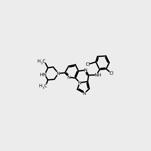 CC1CN(c2ccc3nc(Nc4c(Cl)cccc4Cl)c4cncn4c3n2)CC(C)N1